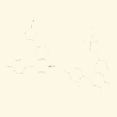 NC1CCN(c2nc3c(cc2F)c(=O)c(C(=O)O)cn3-c2ccc(F)cc2F)C1.N[C@@H]1[C@H]2CN(c3nc4c(cc3F)c(=O)c(C(=O)O)cn4-c3ccc(F)cc3F)C[C@@H]12